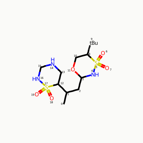 CC(CC1NS(=O)(=O)C(C(C)(C)C)CO1)C1CNCNS1(=O)=O